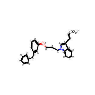 O=C(O)CCc1cn(CCCOc2cccc(Cc3ccccc3)c2)c2ccccc12